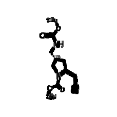 C#CCC1C[C@@H](CNC(=O)OC(C)(C)C)CN1C(=O)OC(C)(C)C